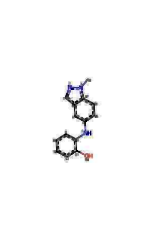 Cn1ncc2cc(Nc3ccccc3O)ccc21